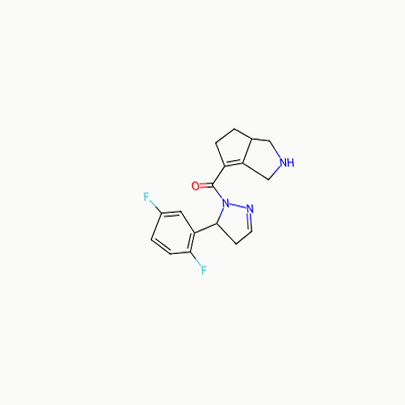 O=C(C1=C2CNCC2CC1)N1N=CCC1c1cc(F)ccc1F